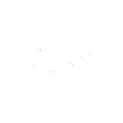 CCN(CCCl)C(=O)/C(C#N)=C/c1cc(OC)c(C)c([N+](=O)[O-])c1